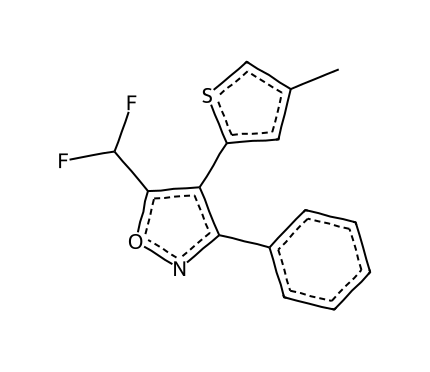 Cc1csc(-c2c(-c3ccccc3)noc2C(F)F)c1